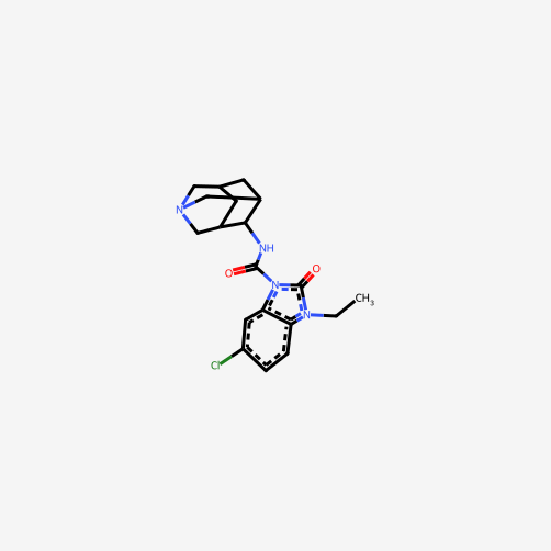 CCn1c(=O)n(C(=O)NC2C3CC4CC2CN(C4)C3)c2cc(Cl)ccc21